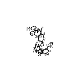 CN(C(=O)O)C1CCC(Oc2ncnc3sc4c(c23)[C@@H](CC=O)CC4)CC1